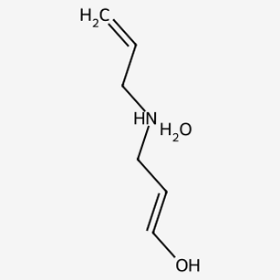 C=CCNCC=CO.O